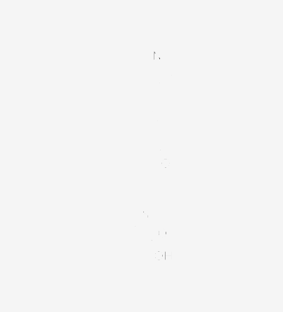 O=C(O)c1ccccc1SCCCOc1ccc(CCc2ccncc2)cc1